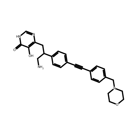 NCC(Cc1nc[nH]c(=O)c1O)c1ccc(C#Cc2ccc(CN3CCOCC3)cc2)cc1